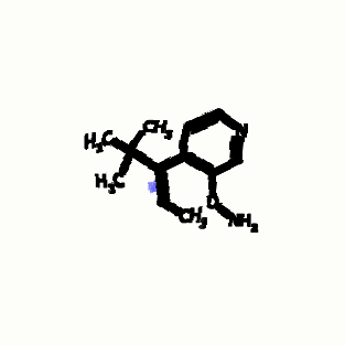 C/C=C(\c1ccncc1ON)C(C)(C)C